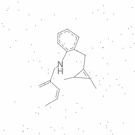 C=C(/C=C\C)CNc1ccccc1CC1=C(C)C1C